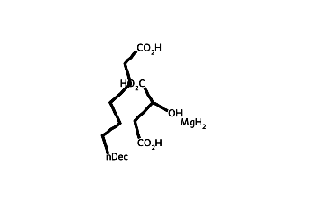 CCCCCCCCCCCCCCCC(=O)O.O=C(O)CC(O)C(=O)O.[MgH2]